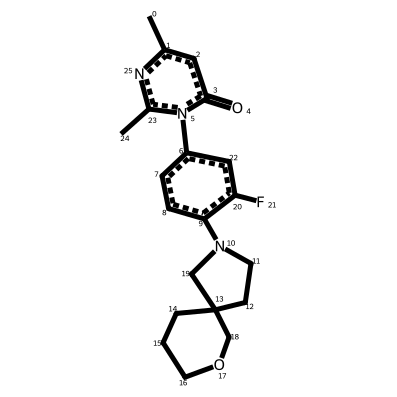 Cc1cc(=O)n(-c2ccc(N3CCC4(CCCOC4)C3)c(F)c2)c(C)n1